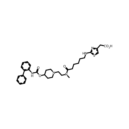 CN(CCN1CCC(OC(=O)Nc2ccccc2-c2ccccc2)CC1)C(=O)CCCCCNc1nc(CC(=O)O)cs1